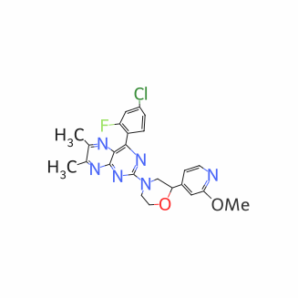 COc1cc(C2CN(c3nc(-c4ccc(Cl)cc4F)c4nc(C)c(C)nc4n3)CCO2)ccn1